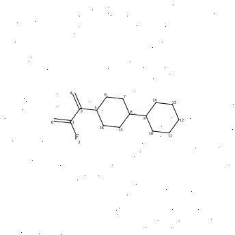 C=C(F)C(=C)C1CCC(C2CCCCC2)CC1